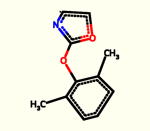 Cc1cccc(C)c1Oc1n[c]co1